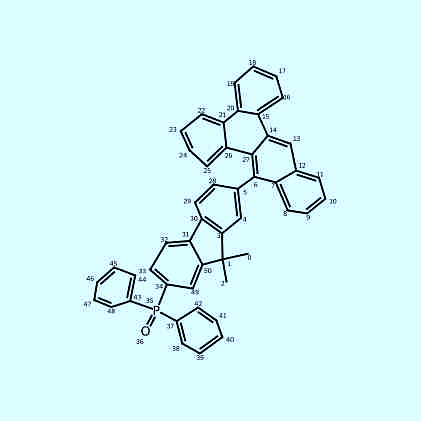 CC1(C)c2cc(-c3c4ccccc4cc4c5ccccc5c5ccccc5c34)ccc2-c2ccc(P(=O)(c3ccccc3)c3ccccc3)cc21